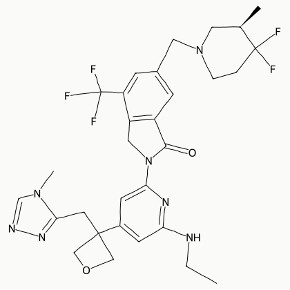 CCNc1cc(C2(Cc3nncn3C)COC2)cc(N2Cc3c(cc(CN4CCC(F)(F)[C@H](C)C4)cc3C(F)(F)F)C2=O)n1